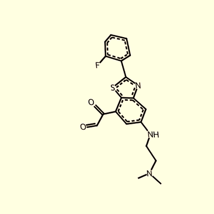 CN(C)CCNc1cc(C(=O)C=O)c2sc(-c3ccccc3F)nc2c1